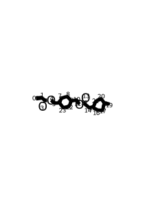 C=CC(=O)OCC1CCC(COC(=O)CC2CCC(C)CC2)CC1